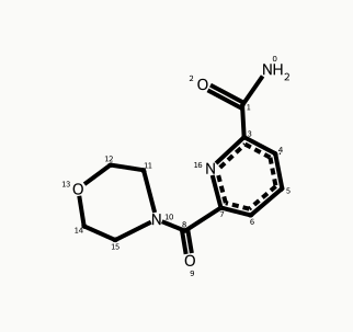 NC(=O)c1[c]ccc(C(=O)N2CCOCC2)n1